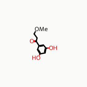 COCCC(=O)c1cc(O)cc(O)c1